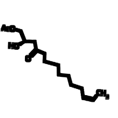 C/C=C\CCCCCCCC(=O)C[C@@H](O)COC(C)=O